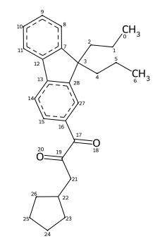 CCCC1(CCC)c2ccccc2-c2ccc(C(=O)C(=O)CC3CCCC3)cc21